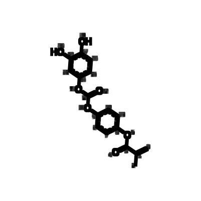 C=C(C)C(=O)Oc1ccc(OC(=O)Oc2ccc(O)c(O)c2)cc1